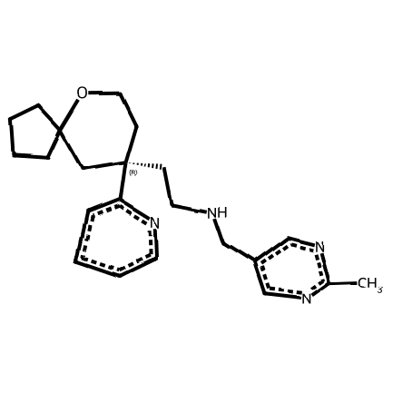 Cc1ncc(CNCC[C@@]2(c3ccccn3)CCOC3(CCCC3)C2)cn1